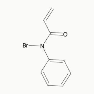 C=CC(=O)N(Br)c1ccccc1